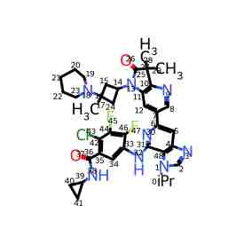 CC(C)n1cnc2cc(-c3cnc4c(c3)N(C3CC(C)(N5CCCCC5)C3)C(=O)C4(C)C)nc(Nc3cc(C(=O)NC4CC4)c(Cl)c(F)c3F)c21